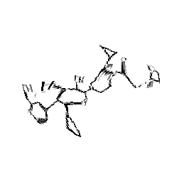 C=Cc1cc(-c2c(C3CC3)nc(N3CCN(C(=O)C[C@H]4CCO4)[C@H](C4CC4)C3)c(C#N)c2CC)ccn1